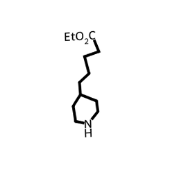 CCOC(=O)CCCCC1CCNCC1